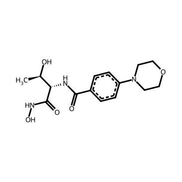 C[C@@H](O)[C@H](NC(=O)c1ccc(N2CCOCC2)cc1)C(=O)NO